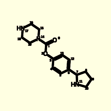 O=C(Oc1ccc(C2CCCN2)cc1)N1CCNCC1